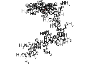 CC(C)C[C@H](NC(=O)CNC(=O)[C@H](CCCCN)NC(=O)[C@@H](NC(=O)[C@H](CO)NC(=O)[C@H](Cc1c[nH]cn1)NC(=O)[C@H](CCCCN)NC(=O)CNC(=O)[C@H](CCCCN)NC(=O)[C@@H]1CCCN1C(=O)[C@@H](N)CC(C)C)C(C)C)C(=O)NCC(=O)N[C@@H](CCCCN)C(=O)N[C@H](C(=O)N[C@H](C(=O)N1CCC[C@H]1C(=O)N[C@@H](CC(=O)O)C(=O)N1CCC[C@H]1C(=O)N[C@@H](CO)C(=O)N[C@@H](C)C(=O)O)[C@@H](C)O)[C@@H](C)O